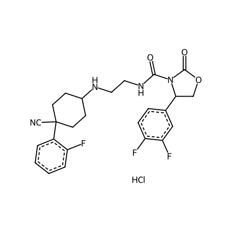 Cl.N#CC1(c2ccccc2F)CCC(NCCNC(=O)N2C(=O)OCC2c2ccc(F)c(F)c2)CC1